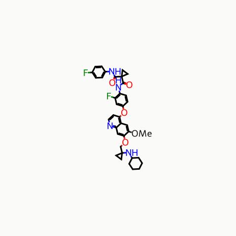 COc1cc2c(Oc3ccc(NC(=O)C4(C(=O)Nc5ccc(F)cc5)CC4)c(F)c3)ccnc2cc1OCC1(NC2CCCCC2)CC1